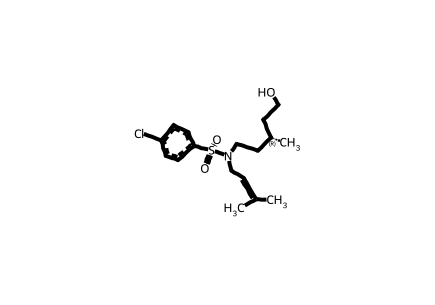 CC(C)=CCN(CC[C@@H](C)CCO)S(=O)(=O)c1ccc(Cl)cc1